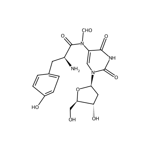 N[C@@H](Cc1ccc(O)cc1)C(=O)N(C=O)c1cn([C@H]2C[C@H](O)[C@@H](CO)O2)c(=O)[nH]c1=O